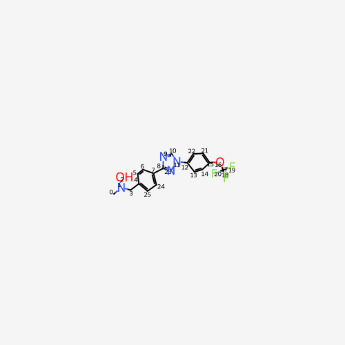 CN(O)Cc1ccc(-c2ncn(-c3ccc(OC(F)(F)F)cc3)n2)cc1